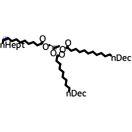 CCCCCCC/C=C\CCCCCCCC(=O)OC[C@H](COC(=O)CCCCCCCCCCCCCCCCCCCC)OC(=O)CCCCCCCCCCCCCCCCCC